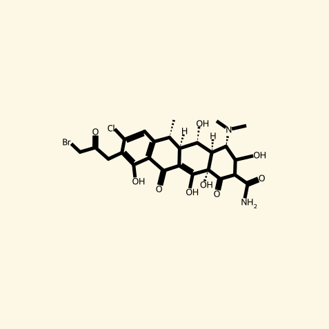 C[C@H]1c2cc(Cl)c(CC(=O)CBr)c(O)c2C(=O)C2=C(O)[C@]3(O)C(=O)C(C(N)=O)C(O)[C@@H](N(C)C)[C@@H]3[C@@H](O)[C@@H]21